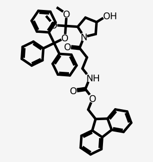 COC(OC)(OC(c1ccccc1)(c1ccccc1)c1ccccc1)C1CC(O)CN1C(=O)CCNC(=O)OCC1c2ccccc2-c2ccccc21